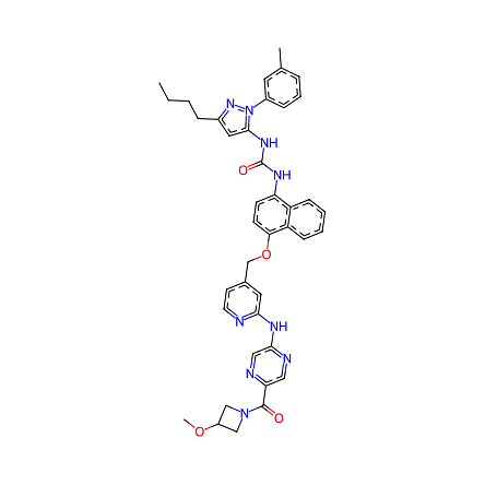 CCCCc1cc(NC(=O)Nc2ccc(OCc3ccnc(Nc4cnc(C(=O)N5CC(OC)C5)cn4)c3)c3ccccc23)n(-c2cccc(C)c2)n1